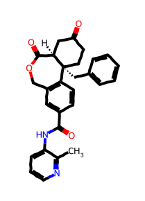 Cc1ncccc1NC(=O)c1ccc2c(c1)COC(=O)[C@H]1CC(=O)CC[C@@]21Cc1ccccc1